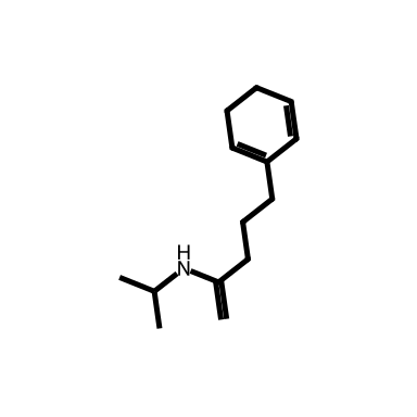 C=C(CCCC1=CCCC=C1)NC(C)C